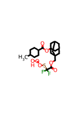 CC1CCC(C(=O)OC23CC4CC(CC(COC(=O)C(F)(F)SOOO)(C4)C2)C3)CC1